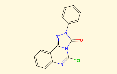 O=c1n(-c2ccccc2)nc2c3ccccc3nc(Cl)n12